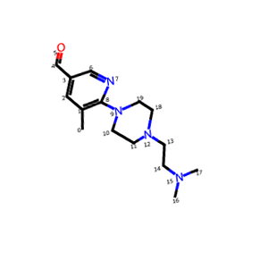 Cc1cc(C=O)cnc1N1CCN(CCN(C)C)CC1